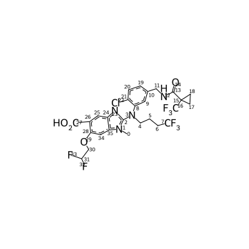 Cn1c(N(CCCC(F)(F)F)c2cc(CNC(=O)C3(C(F)(F)F)CC3)ccc2Cl)nc2cc(C(=O)O)c(OCC(F)F)cc21